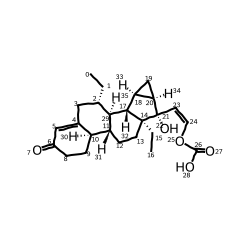 CC[C@H]1CC2=CC(=O)CC[C@@H]2[C@H]2CC[C@@]3(CC)[C@@H]([C@H]4C[C@H]4[C@@]3(O)/C=C\OC(=O)O)[C@H]12